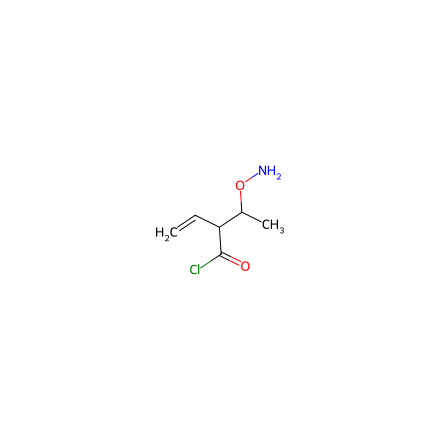 C=CC(C(=O)Cl)C(C)ON